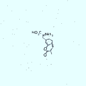 Cc1cc2ccc(C[C@@H](N)C(=O)O)cc2oc1=O